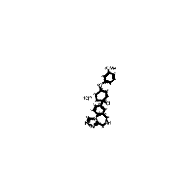 COc1cccc(OC2CCC(Cl)(c3ccc4c(c3)CNCc3nncn3-4)CC2)c1.Cl